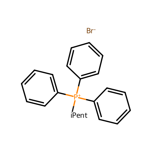 CCCC(C)[P+](c1ccccc1)(c1ccccc1)c1ccccc1.[Br-]